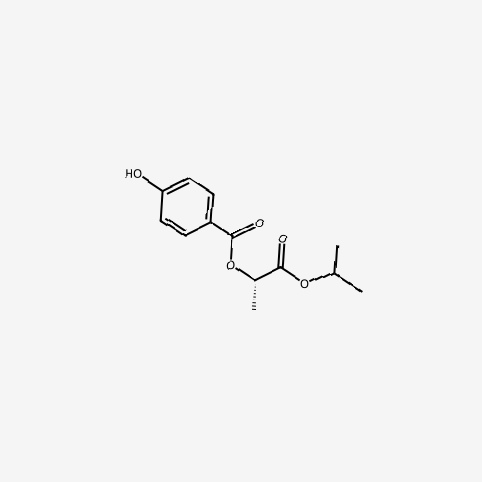 CC(C)OC(=O)[C@H](C)OC(=O)c1ccc(O)cc1